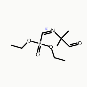 CCOP(=O)(/C=N\C(C)(C)C=O)OCC